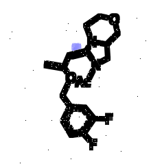 C=C(/C=C1\N(C(C)=O)CC2COCCN12)OCc1ccc(F)c(F)c1